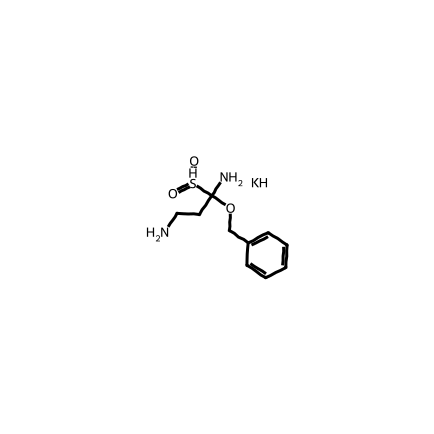 NCCC(N)(OCc1ccccc1)[SH](=O)=O.[KH]